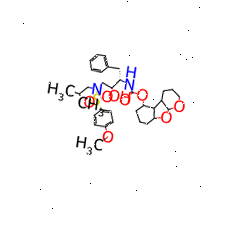 COc1ccc(S(=O)(=O)N(CC(C)C)C[C@@H](O)[C@H](Cc2ccccc2)NC(=O)OC2CCCC3OC4OCCCC4C23)cc1